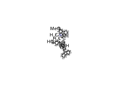 C=C/C=C(\C=C)C(NCCCC[C@H](NC(=O)OCC1c2ccccc2-c2ccccc21)C(=O)Nc1ccc(CO)cc1)(c1ccc(OC)cc1)C1CC=CCC1